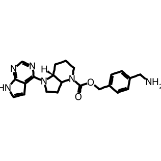 NCc1ccc(COC(=O)N2CCC[C@@H]3C2CCN3c2ncnc3[nH]ccc23)cc1